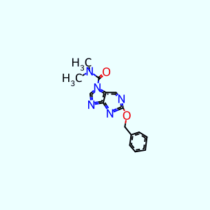 CN(C)C(=O)n1cnc2nc(OCc3ccccc3)ncc21